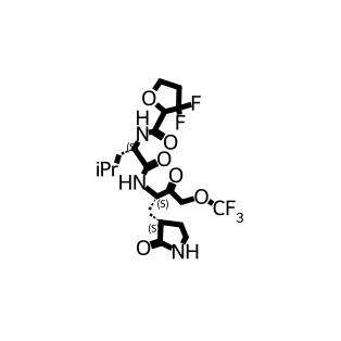 CC(C)C[C@H](NC(=O)C1OCCC1(F)F)C(=O)N[C@@H](C[C@@H]1CCNC1=O)C(=O)COC(F)(F)F